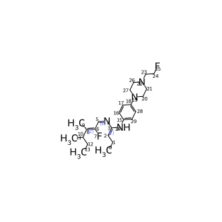 CC/C=C(/N=C\C(F)=C(/C)C(C)CC)Nc1ccc(N2CCN(CCF)CC2)cc1